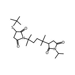 CC(C)N1C(=O)CC(C(C)(C)CCC(C)(C)N2C(=O)CC(SC(C)(C)C)C2=O)C1=O